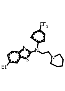 CCc1ccc2nc(N(CCN3CCCCC3)c3ccc(C(F)(F)F)cc3)sc2c1